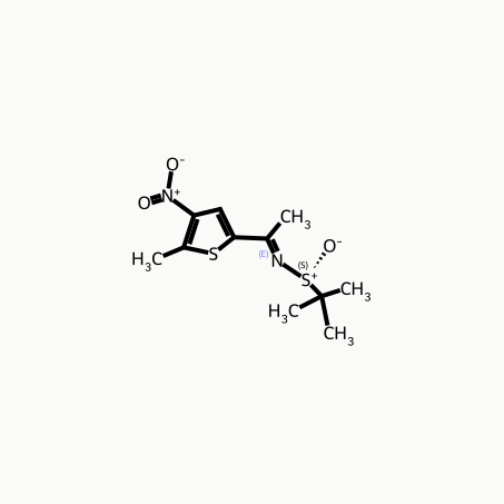 C/C(=N\[S@+]([O-])C(C)(C)C)c1cc([N+](=O)[O-])c(C)s1